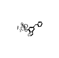 O=S(=O)(Oc1cc(Cc2ccccc2)cc2ccoc12)C(F)(F)F